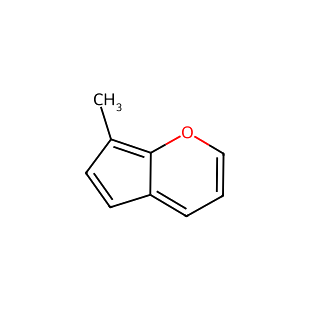 Cc1ccc2cccoc1-2